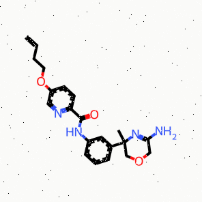 C=CCCOc1ccc(C(=O)Nc2cccc(C3(C)COCC(N)=N3)c2)nc1